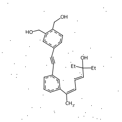 CCC(O)(/C=C/C=C(/C)c1cccc(C#Cc2ccc(CO)c(CO)c2)c1)CC